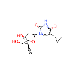 C#C[C@]1(CO)OC(n2cc(C3CC3)c(=O)[nH]c2=O)C[C@@H]1O